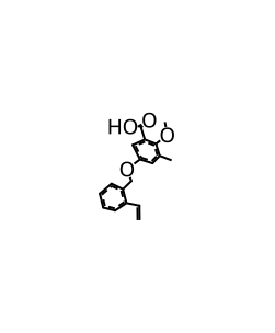 C=Cc1ccccc1COc1cc(C)c(OC)c(C(=O)O)c1